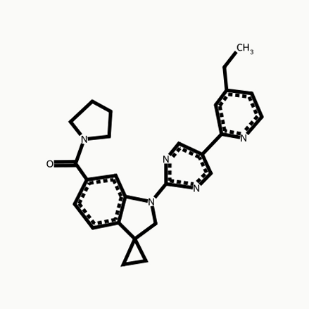 CCc1ccnc(-c2cnc(N3CC4(CC4)c4ccc(C(=O)N5CCCC5)cc43)nc2)c1